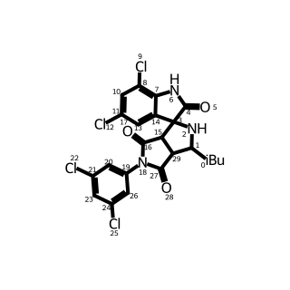 CCC(C)C1NC2(C(=O)Nc3c(Cl)cc(Cl)cc32)C2C(=O)N(c3cc(Cl)cc(Cl)c3)C(=O)C12